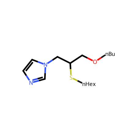 CCCCCCSC(COCCCC)Cn1ccnc1